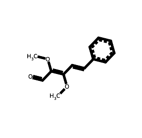 COC(C=O)=C(C=Cc1ccccc1)OC